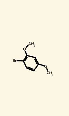 COc1cc(SC)ccc1Br